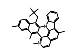 Cc1ccc2c(CC(C)(C)I)c3c(c(C)c2c1)c1c2c(cc[n+]1C)cc(C)c1c4ccccc4n3c12